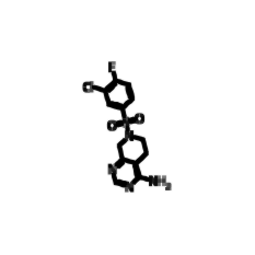 Nc1ncnc2c1CCN(S(=O)(=O)c1ccc(F)c(Cl)c1)C2